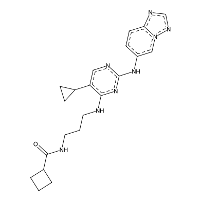 O=C(NCCCNc1nc(Nc2ccc3ncnn3c2)ncc1C1CC1)C1CCC1